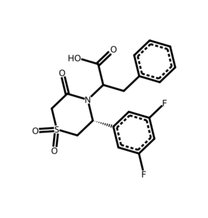 O=C(O)C(Cc1ccccc1)N1C(=O)CS(=O)(=O)C[C@H]1c1cc(F)cc(F)c1